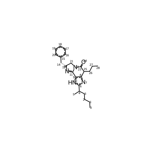 CCCCC(C)c1nc2c([nH]1)C1=N[C@H](Cc3ccccc3)CN1C(=O)C2CCC